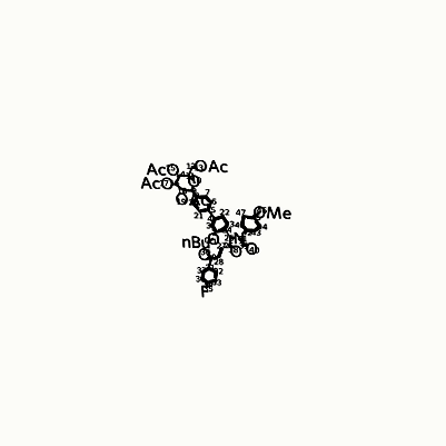 CCCCOc1cc(-c2ccc(C3O[C@H](COC(C)=O)[C@@H](OC(C)=O)[C@H](OC(C)=O)[C@H]3OC(C)=O)cc2)ccc1[C@@H]1[C@@H](/C=C/C(=O)c2ccc(F)cc2)OC(=O)N1c1ccc(OC)cc1